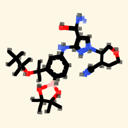 CC(C)(O[Si](C)(C)C(C)(C)C)c1cc(Nc2nn([C@H]3COCCC3C#N)cc2C(N)=O)ccc1B1OC(C)(C)C(C)(C)O1